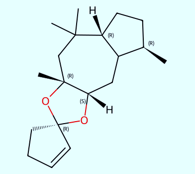 C[C@@H]1CC[C@@H]2C1C[C@@H]1O[C@@]3(C=CCC3)O[C@]1(C)CC2(C)C